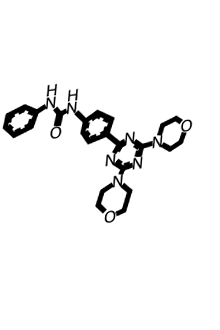 O=C(Nc1ccccc1)Nc1ccc(-c2nc(N3CCOCC3)nc(N3CCOCC3)n2)cc1